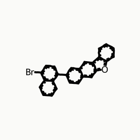 Brc1ccc(-c2ccc3cc4oc5ccccc5c4cc3c2)c2ccccc12